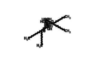 CCCCCCCCCCCCC(CCCCCCCCCCCC)CC(=O)OCC1O[C@H](O[C@H]2OC(COC(=O)CC(CCCCCCCCCCCC)CCCCCCCCCCCC)[C@@H](O)[C@H](O)C2O)C(O)[C@@H](O)[C@@H]1O